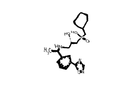 CC(NC[C@H](O)CP(=O)(O)CC1CCCCC1)c1cccc(-c2ncno2)c1